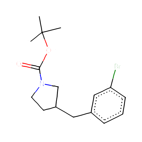 CC(C)(C)OC(=O)N1CCC(Cc2cccc(Br)c2)C1